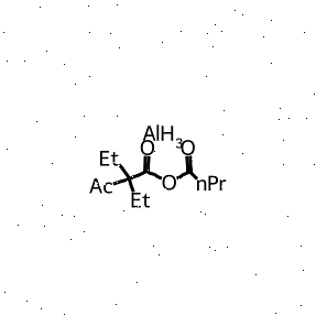 CCCC(=O)OC(=O)C(CC)(CC)C(C)=O.[AlH3]